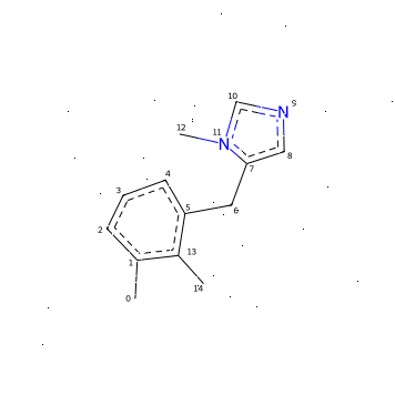 Cc1cccc(Cc2cncn2C)c1C